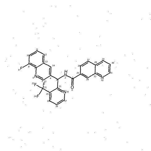 O=C(NC(c1cnc2c(F)cccc2c1)c1ncccc1C(F)(F)F)c1ccc2cccnc2c1